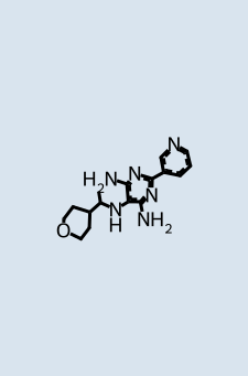 CC(Nc1c(N)nc(-c2cccnc2)nc1N)C1CCOCC1